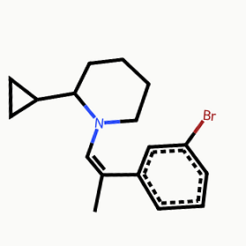 CC(=CN1CCCCC1C1CC1)c1cccc(Br)c1